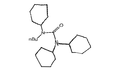 CCCCN(C(=O)N(C1CCCCC1)C1CCCCC1)C1CCCCC1